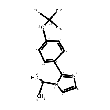 CC(C)n1ccnc1-c1ccc(OC(F)(F)F)cc1